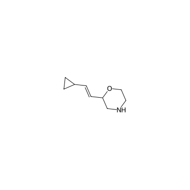 C(=CC1CNCCO1)C1CC1